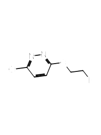 FCCOc1ccc(Cl)nn1